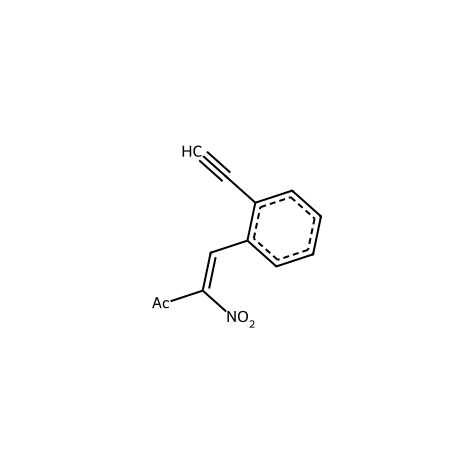 C#Cc1ccccc1C=C(C(C)=O)[N+](=O)[O-]